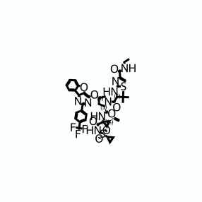 C=C[C@@H]1C[C@]1(NC(=O)[C@@H]1C[C@@H](Oc2nc(-c3ccc(C(F)(F)F)cc3)nc3c2oc2ccccc23)CN1C(=O)[C@@H](Nc1nc(C(=O)NCC)cs1)C(C)(C)C)C(=O)NS(=O)(=O)C1CC1